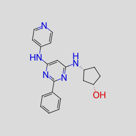 O[C@H]1CC[C@@H](Nc2cc(Nc3ccncc3)nc(-c3ccccc3)n2)C1